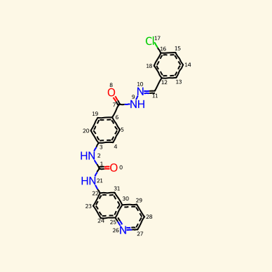 O=C(Nc1ccc(C(=O)NN=Cc2cccc(Cl)c2)cc1)Nc1ccc2ncccc2c1